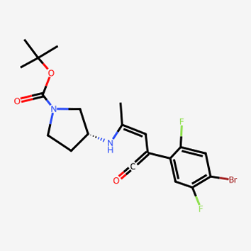 C/C(=C/C(=C=O)c1cc(F)c(Br)cc1F)N[C@@H]1CCN(C(=O)OC(C)(C)C)C1